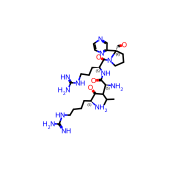 CC(C)C(C(=O)[C@@H](N)CCCCNC(=N)N)[C@H](N)C(=O)N[C@@H](CCCNC(=N)N)C(=O)N1CCC[C@]1(C=O)c1cnccn1